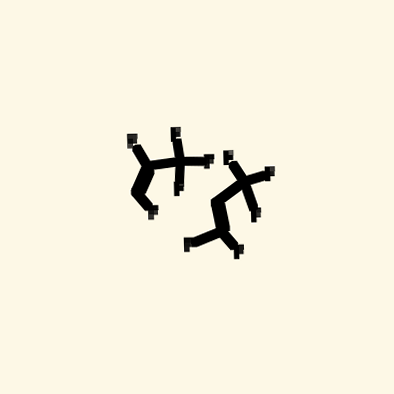 F/C=C(/F)C(F)(F)F.FC(F)=CC(F)(F)F